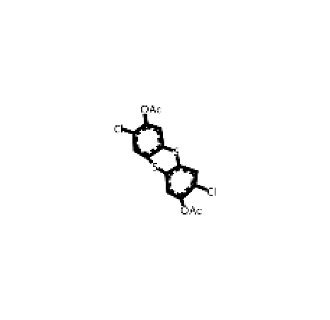 CC(=O)Oc1cc2c(cc1Cl)Sc1cc(OC(C)=O)c(Cl)cc1S2